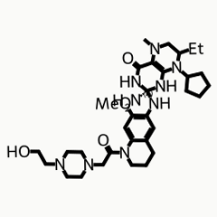 CCC1CN(C)C2=C(N[C@@](N)(Nc3cc4c(cc3OC)N(C(=O)CN3CCN(CCO)CC3)CCC4)NC2=O)N1C1CCCC1